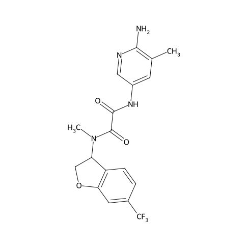 Cc1cc(NC(=O)C(=O)N(C)C2COc3cc(C(F)(F)F)ccc32)cnc1N